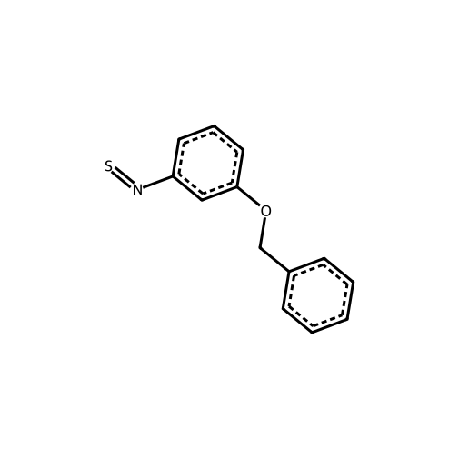 S=Nc1cccc(OCc2ccccc2)c1